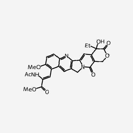 CCC1(O)C(=O)OCc2c1cc1n(c2=O)Cc2cc3c(C=C(NC(C)=O)C(=O)OC)c(OC)ccc3nc2-1